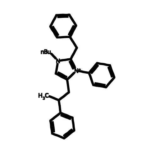 CCCCn1cc(CC(C)c2ccccc2)[n+](-c2ccccc2)c1Cc1ccccc1